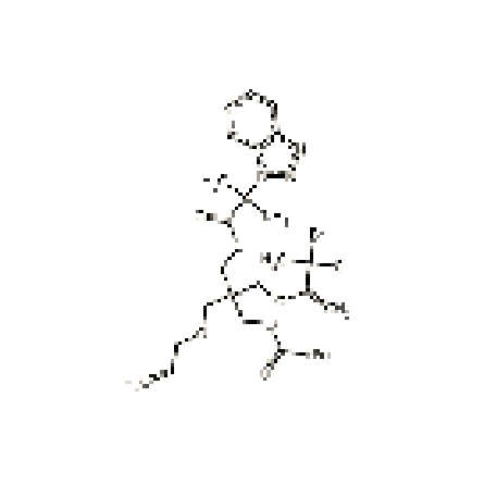 C=CCOCC(COC(=C)C(C)(C)Br)(COC(=O)C(C)(C)C)COC(=O)C(C)(C)n1nnc2ccccc21